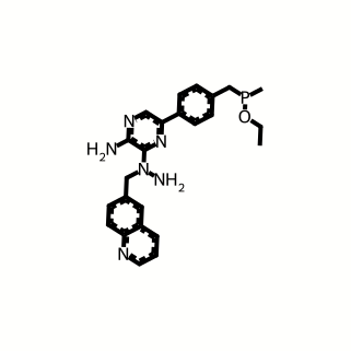 CCOP(C)Cc1ccc(-c2cnc(N)c(N(N)Cc3ccc4ncccc4c3)n2)cc1